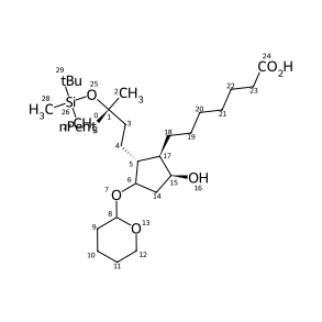 CCCCC[C@@](C)(CC[C@H]1C(OC2CCCCO2)C[C@H](O)[C@@H]1CCCCCCC(=O)O)O[Si](C)(C)C(C)(C)C